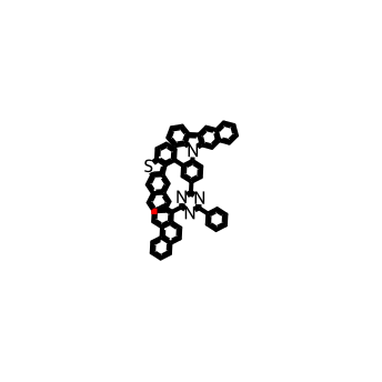 c1ccc(-c2nc(-c3ccc(-n4c5ccccc5c5cc6ccccc6cc54)c(-c4cccc5sc6cc7ccccc7cc6c45)c3)nc(-c3cccc4c3ccc3ccccc34)n2)cc1